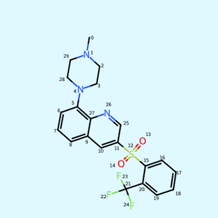 CN1CCN(c2cccc3cc(S(=O)(=O)c4ccccc4C(F)(F)F)cnc23)CC1